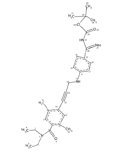 CCN(CC)C(=O)c1cc(C)c(C#CCNc2ccc(C(=N)NC(=O)OC(C)(C)C)cc2)cc1C